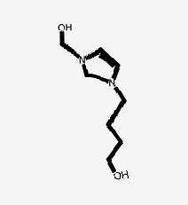 OCCCCN1C=CN(CO)C1